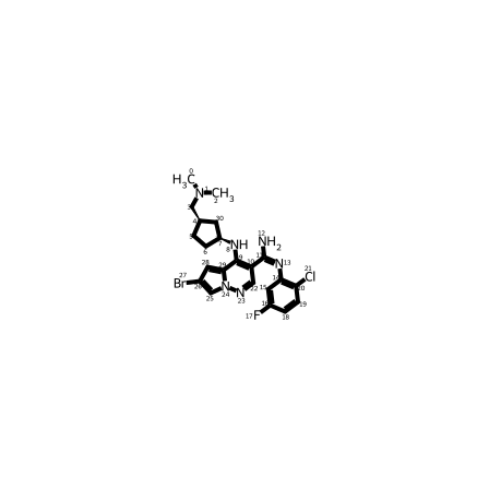 CN(C)C[C@@H]1CC[C@H](Nc2c(C(N)=Nc3cc(F)ccc3Cl)cnn3cc(Br)cc23)C1